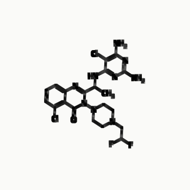 CC(Nc1nc(N)nc(N)c1Cl)c1nc2cccc(Cl)c2c(=O)n1N1CCN(CC(F)F)CC1